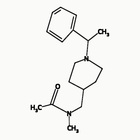 CC(=O)N(C)CC1CCN(C(C)c2ccccc2)CC1